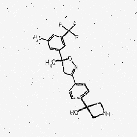 Cc1cc(C(F)(F)F)cc(C2(C)CC(c3ccc(C4(O)CNC4)cc3)=NO2)c1